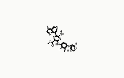 CNc1nc(Nc2ccc(N3C[C@@H]4C[C@H]3CO4)c(F)c2F)c(C(=O)OC)nc1-c1cncc2c1ncn2C